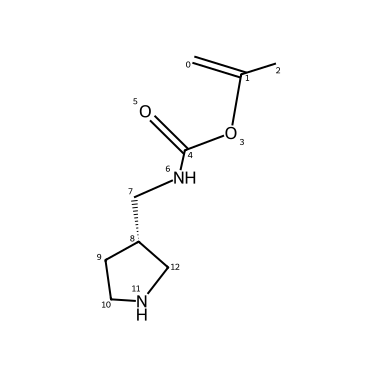 C=C(C)OC(=O)NC[C@H]1CCNC1